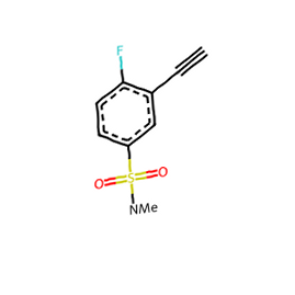 C#Cc1cc(S(=O)(=O)NC)ccc1F